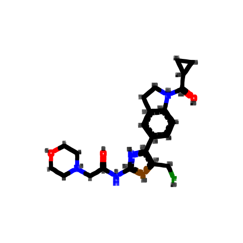 O=C(CN1CCOCC1)Nc1nc(-c2ccc3c(c2)CCN3C(=O)C2CC2)c(CF)s1